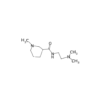 CN(C)CCNC(=O)C1CCCN(C)C1